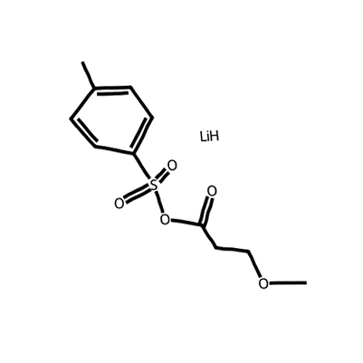 COCCC(=O)OS(=O)(=O)c1ccc(C)cc1.[LiH]